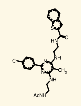 CC(=O)NCCNc1nc(-c2ccc(Cl)cc2)nc(NCCNC(=O)c2cc3ccccc3s2)c1C